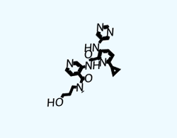 CN(CCCO)C(=O)c1ccncc1NC(=O)c1nc(C2CC2)ccc1Nc1cncnc1